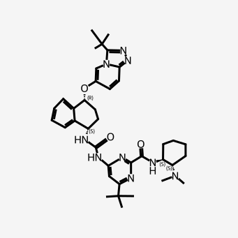 CN(C)[C@H]1CCCC[C@@H]1NC(=O)c1nc(NC(=O)N[C@H]2CC[C@@H](Oc3ccc4nnc(C(C)(C)C)n4c3)c3ccccc32)cc(C(C)(C)C)n1